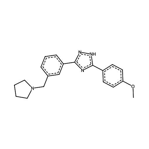 COc1ccc(-c2nc(-c3cccc(CN4CCCC4)c3)n[nH]2)cc1